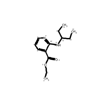 CCOC(=O)c1cccnc1NC(CC)CC